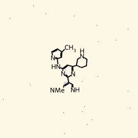 CN/C=C(\C=N)c1nc(Nc2cc(C)ccn2)cc(C2CCCNC2)n1